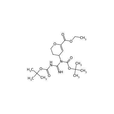 CCOC(=O)C1=CC(N(C(=N)NC(=O)OC(C)(C)C)C(=O)OC(C)(C)C)CCO1